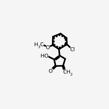 C=C1CC(c2c(Cl)cccc2OC)=C(O)C1=O